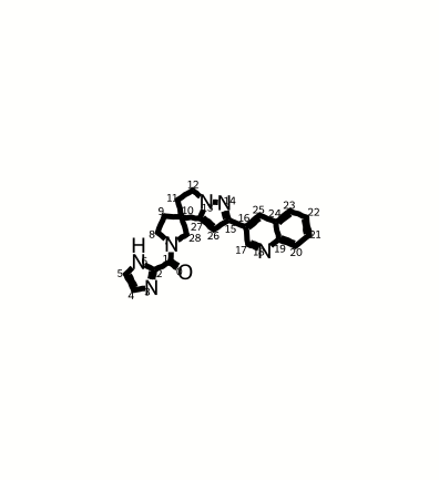 O=C(c1ncc[nH]1)N1CCC2(CCn3nc(-c4cnc5ccccc5c4)cc32)C1